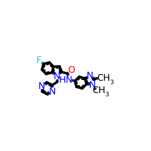 Cc1nc2cc(NC(=O)c3cc4cc(F)ccc4n3Cc3cnccn3)ccc2n1C